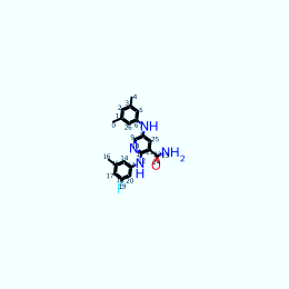 Cc1cc(C)cc(Nc2cnc(Nc3cc(C)cc(F)c3)c(C(N)=O)c2)c1